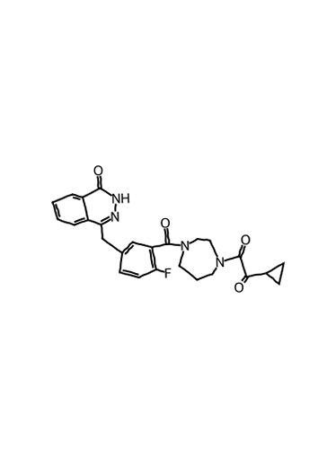 O=C(C(=O)N1CCCN(C(=O)c2cc(Cc3n[nH]c(=O)c4ccccc34)ccc2F)CC1)C1CC1